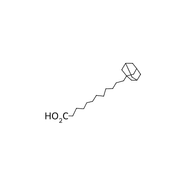 O=C(O)CCCCCCCCCCCC12CC3CC(CC(C3)C1)C2